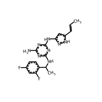 C/C=C/c1cc(Nc2nc(N)nc(NC(C)c3ccc(F)cc3F)n2)n[nH]1